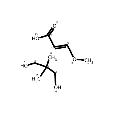 CC(C)(CO)CO.COC=CC(=O)O